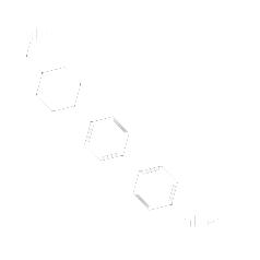 CCCCCCCc1ccc(-c2ccc(C3CCC(CC(C)C)CC3)cc2)cc1